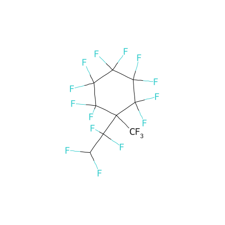 FC(F)C(F)(F)C1(C(F)(F)F)C(F)(F)C(F)(F)C(F)(F)C(F)(F)C1(F)F